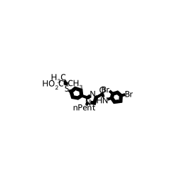 CCCCCn1cc(C(=O)Nc2ccc(Br)cc2Br)nc1-c1ccc(SC(C)(C)C(=O)O)cc1